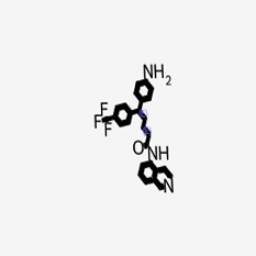 Nc1ccc(/C(=C/C=C/C(=O)Nc2cccc3cnccc23)c2ccc(C(F)(F)F)cc2)cc1